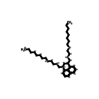 CCCCCCCCSCCSCC1CN(CSCCSCCCCCCCC)c2cccc3cccc1c23